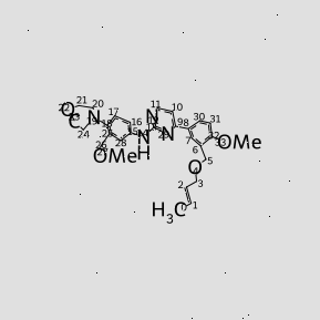 C/C=C/COCc1cc(-c2ccnc(Nc3ccc(N4CCOCC4)c(COC)c3)n2)ccc1OC